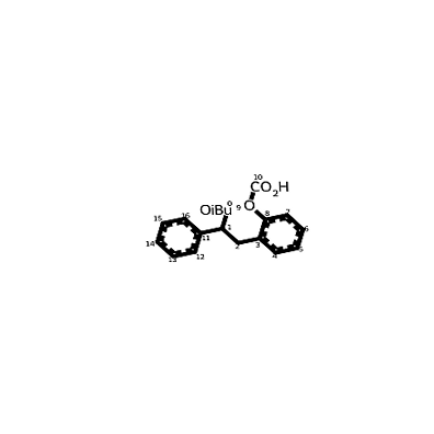 CC(C)COC(Cc1ccccc1OC(=O)O)c1ccccc1